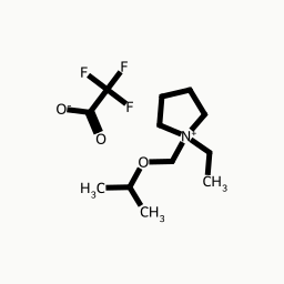 CC[N+]1(COC(C)C)CCCC1.O=C([O-])C(F)(F)F